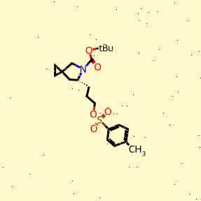 Cc1ccc(S(=O)(=O)OCCC[C@@H]2CC3(CC3)CN2C(=O)OC(C)(C)C)cc1